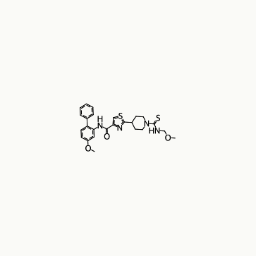 COCNC(=S)N1CCC(c2nc(C(=O)Nc3cc(OC)ccc3-c3ccccc3)cs2)CC1